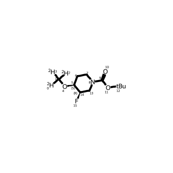 [2H]C([2H])([2H])O[C@H]1CCN(C(=O)OC(C)(C)C)C[C@H]1F